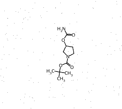 CC(C)(C)OC(=O)N1CCC(OC(N)=O)C1